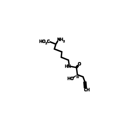 C#CC[C@H](O)C(=O)NCCCCC(N)C(=O)O